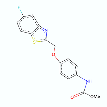 COC(=O)Nc1ccc(OCc2nc3cc(F)ccc3s2)cc1